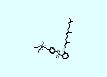 CCOP(=O)(OCC)OCc1ccc(OC(=O)c2ccccc2OC/C=C(\C)CC/C=C(\C)CCC=C(C)C)cc1